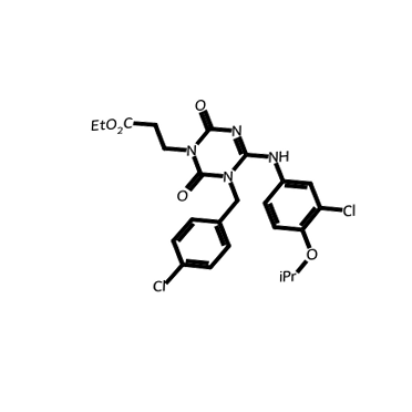 CCOC(=O)CCn1c(=O)nc(Nc2ccc(OC(C)C)c(Cl)c2)n(Cc2ccc(Cl)cc2)c1=O